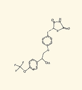 O=C1NC(=O)C(Cc2ccc(OCC(O)c3ccc(OC(F)(F)F)cc3)cc2)S1